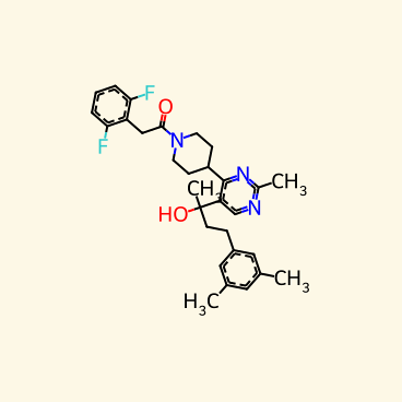 Cc1cc(C)cc(CCC(C)(O)c2cnc(C)nc2C2CCN(C(=O)Cc3c(F)cccc3F)CC2)c1